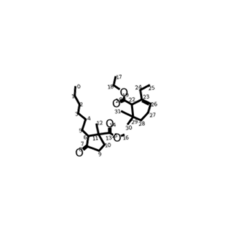 CCCCCCC1C(=O)CCC1(C)C(=O)OC.CCOC(=O)C1C(CC)=CCCC1(C)C